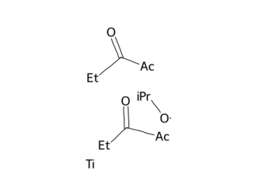 CC(C)[O].CCC(=O)C(C)=O.CCC(=O)C(C)=O.[Ti]